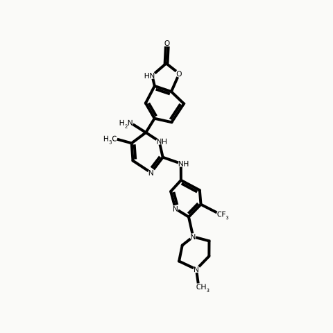 CC1=CN=C(Nc2cnc(N3CCN(C)CC3)c(C(F)(F)F)c2)NC1(N)c1ccc2oc(=O)[nH]c2c1